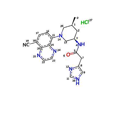 C[C@H]1C[C@@H](NC(=O)Cc2c[nH]cn2)CN(c2ccc(C#N)c3nccnc23)C1.Cl